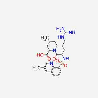 Cc1cnc2c(S(=O)(=O)NC(CCCNC(=N)N)C(=O)N3CC[C@@H](C)C[C@@H]3C(=O)O)cccc2c1